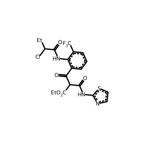 CCOC(=O)C(C(=O)Nc1nccs1)C(=O)c1cccc(C(F)(F)F)c1NC(=O)C(Cl)CC